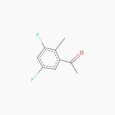 CC(=O)c1cc(F)cc(F)c1C